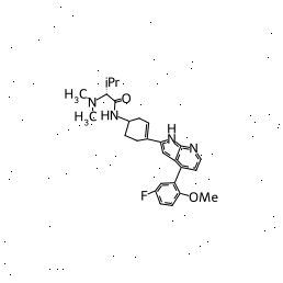 COc1ccc(F)cc1-c1ccnc2[nH]c(C3=CCC(NC(=O)[C@@H](C(C)C)N(C)C)CC3)cc12